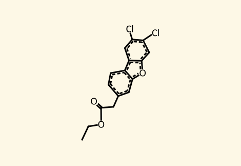 CCOC(=O)Cc1ccc2c(c1)oc1cc(Cl)c(Cl)cc12